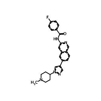 CN1CCC(n2cc(-c3ccc4cnc(NC(=O)c5ccc(F)cc5)cc4c3)cn2)CC1